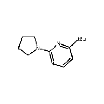 CC(C)(C)c1ccnc(N2CCCC2)n1